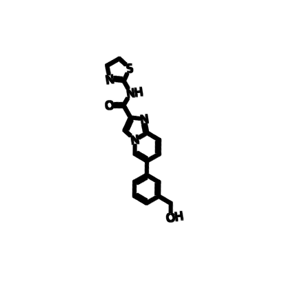 O=C(NC1=NCCS1)c1cn2cc(-c3cccc(CO)c3)ccc2n1